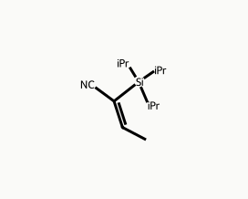 CC=C(C#N)[Si](C(C)C)(C(C)C)C(C)C